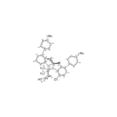 CC1=Cc2c(-c3ccc(C(C)(C)C)cc3)ccc(Cl)c2[CH]1[Zr]([CH3])([CH3])(=[SiH2])[CH]1C(C(C)C)=Cc2c(-c3ccc(C(C)(C)C)cc3)cccc21.Cl.Cl